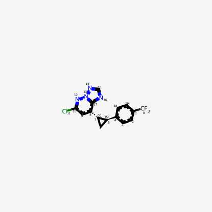 FC(F)(F)c1ccc([C@H]2C[C@@H]2c2cc(Cl)nn3ncnc23)cc1